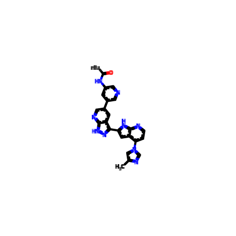 CCCCC(=O)Nc1cncc(-c2cnc3[nH]nc(-c4cc5c(-n6cnc(C)c6)ccnc5[nH]4)c3c2)c1